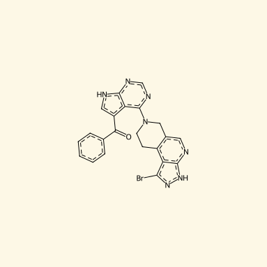 O=C(c1ccccc1)c1c[nH]c2ncnc(N3CCc4c(cnc5[nH]nc(Br)c45)C3)c12